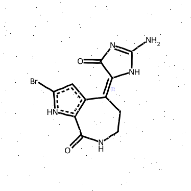 NC1=NC(=O)/C(=C2/CCNC(=O)c3[nH]c(Br)cc32)N1